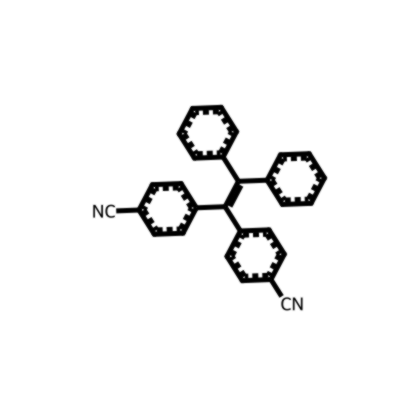 N#Cc1ccc(C(=C(c2ccccc2)c2ccccc2)c2ccc(C#N)cc2)cc1